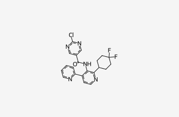 O=C(Nc1c(-c2ccccn2)ccnc1C1CCC(F)(F)CC1)c1cnc(Cl)nc1